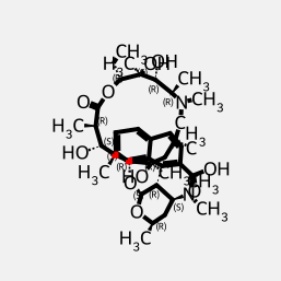 CC[C@H]1OC(=O)[C@H](C)[C@@H](O)[C@H](C)[C@@H](O[C@@H]2O[C@H](C)C[C@H](N(C)C)[C@H]2c2c(C(=O)O)ccc3ccccc23)[C@](C)(O)C[C@@H](C)CN(C)[C@H](C)[C@@H](O)[C@]1(C)O